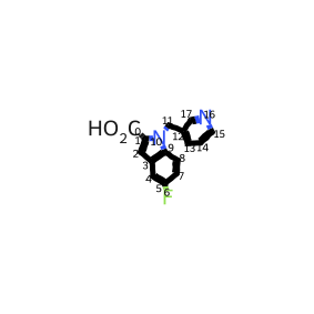 O=C(O)c1cc2cc(F)ccc2n1Cc1cccnc1